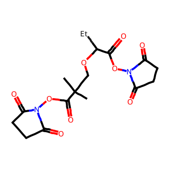 CCC(OCC(C)(C)C(=O)ON1C(=O)CCC1=O)C(=O)ON1C(=O)CCC1=O